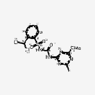 COc1nc(C)nc(NC(=O)NS(=O)(=O)c2ccccc2C(Cl)Cl)n1